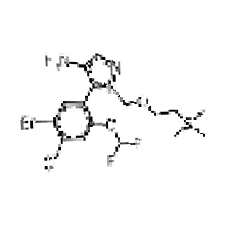 C[Si](C)(C)CCOCn1ncc(N)c1-c1cc(Br)c(Cl)cc1OC(F)F